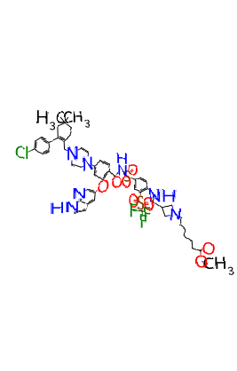 COC(=O)CCCCCCN1CC(CNc2ccc(S(=O)(=O)NC(=O)c3ccc(N4CCN(CC5=C(c6ccc(Cl)cc6)CC(C)(C)CC5)CC4)cc3Oc3cnc4[nH]ccc4c3)cc2S(=O)(=O)C(F)(F)F)C1